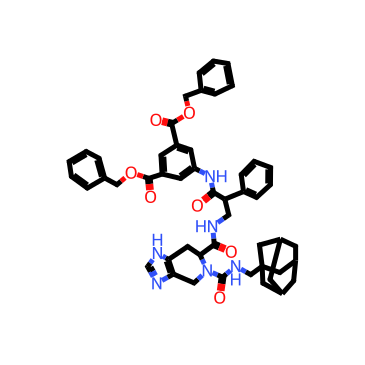 O=C(OCc1ccccc1)c1cc(NC(=O)C(CNC(=O)C2Cc3[nH]cnc3CN2C(=O)NCC23CC4CC(CC(C4)C2)C3)c2ccccc2)cc(C(=O)OCc2ccccc2)c1